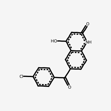 O=C(c1ccc(Cl)cc1)c1ccc2[nH]c(=O)cc(O)c2c1